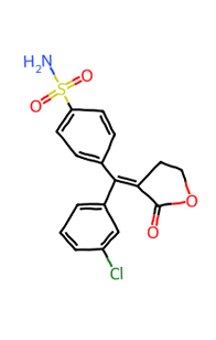 NS(=O)(=O)c1ccc(C(=C2CCOC2=O)c2cccc(Cl)c2)cc1